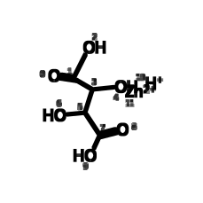 O=C(O)C(O)C(O)C(=O)O.[H+].[Zn+2]